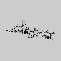 Cc1ccc2c(N)c(C(=O)N[C@H]3COc4cc(N5C[C@H](OC6CC6)[C@@H](N)C5)ccc4C3)sc2n1